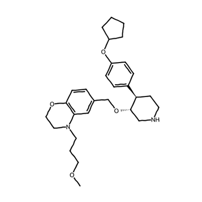 COCCCN1CCOc2ccc(CO[C@H]3CNCC[C@@H]3c3ccc(OC4CCCC4)cc3)cc21